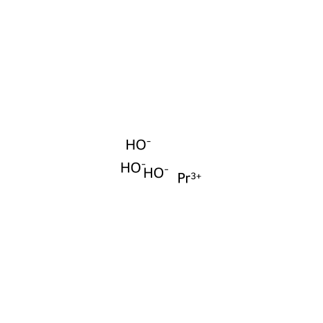 [OH-].[OH-].[OH-].[Pr+3]